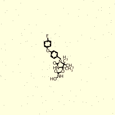 CC1(C)N(Cc2ccc(Oc3ccc(F)cc3)cc2)C(=O)N[C@]1(C)OC(=O)NO